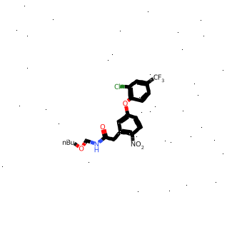 CCCCOCNC(=O)Cc1cc(Oc2ccc(C(F)(F)F)cc2Cl)ccc1[N+](=O)[O-]